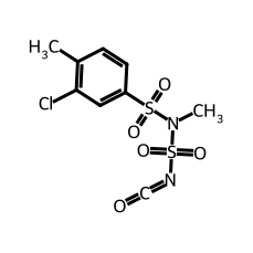 Cc1ccc(S(=O)(=O)N(C)S(=O)(=O)N=C=O)cc1Cl